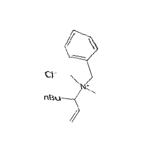 C=CC(CCCC)[N+](C)(C)Cc1ccccc1.[Cl-]